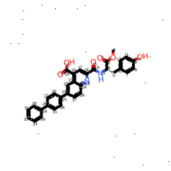 COC(=O)[C@H](Cc1ccc(O)cc1)NC(=O)c1cc(C(=O)O)c2cc(-c3ccc(-c4ccccc4)cc3)ccc2n1